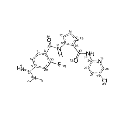 CN(C)C(=N)c1ccc(C(=O)Nc2ccsc2C(=O)Nc2ccc(Cl)cn2)c(F)c1